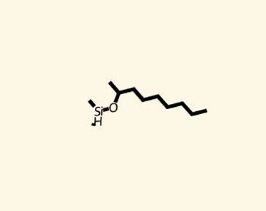 CCCCCCCC(C)O[SiH](C)C